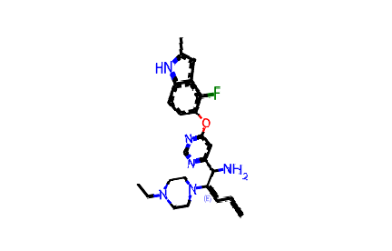 C=C/C=C(\C(N)c1cc(Oc2ccc3[nH]c(C)cc3c2F)ncn1)N1CCN(CC)CC1